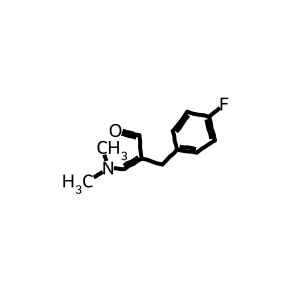 CN(C)C=C(C=O)Cc1ccc(F)cc1